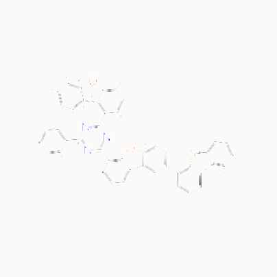 c1ccc(-c2nc(-c3cccc4c3oc3ccc(-c5cccc6c5sc5ccccc56)cc34)nc(-c3cccc4oc5ccccc5c34)n2)cc1